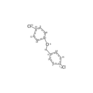 Clc1ccc([CH]Oc2ccc(Cl)cc2)cc1